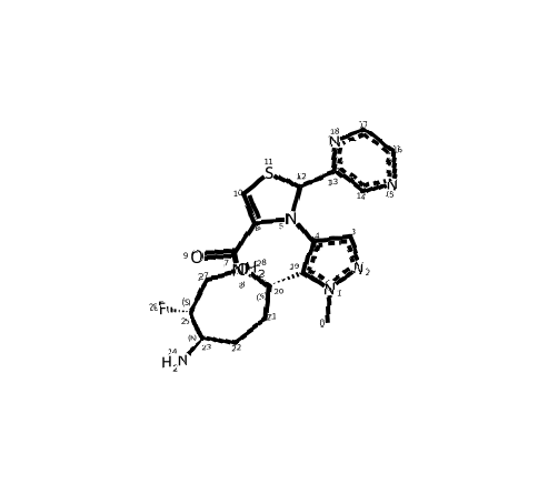 Cn1ncc(N2C(C(N)=O)=CSC2c2cnccn2)c1[C@@H]1CC[C@@H](N)[C@H](F)CO1